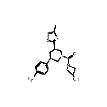 Cc1coc(C2CC(c3ccc(C(F)(F)F)cc3)CN(C(=O)N3CC(O)C3)C2)n1